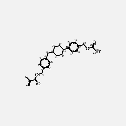 C=C(C)C(=O)OCc1ccc(CC2CCC(c3ccc(COC(=O)C(C)C)cc3)CC2)cc1